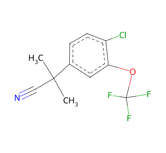 CC(C)(C#N)c1ccc(Cl)c(OC(F)(F)F)c1